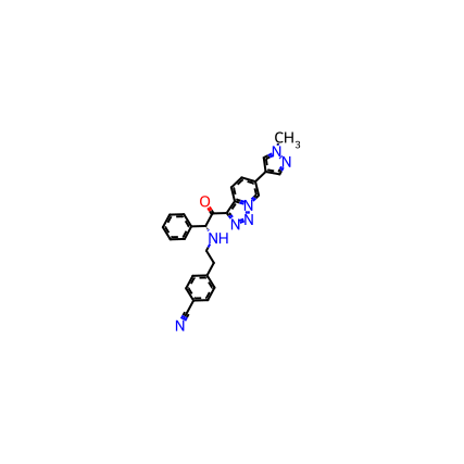 Cn1cc(-c2ccc3c(C(=O)[C@H](NCCc4ccc(C#N)cc4)c4ccccc4)nnn3c2)cn1